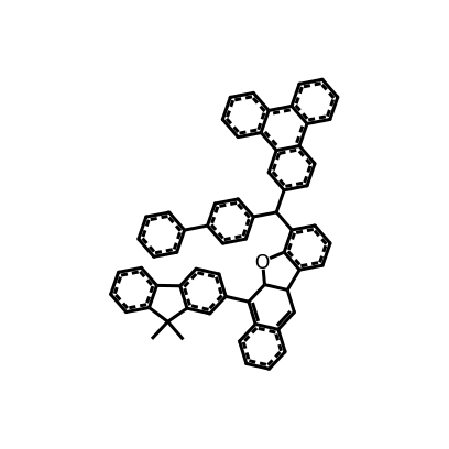 CC1(C)c2ccccc2-c2ccc(C3=c4ccccc4=CC4c5cccc(C(c6ccc(-c7ccccc7)cc6)c6ccc7c8ccccc8c8ccccc8c7c6)c5OC34)cc21